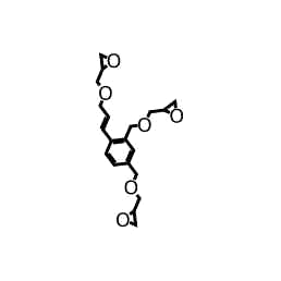 C(=Cc1ccc(COCC2CO2)cc1COCC1CO1)COCC1CO1